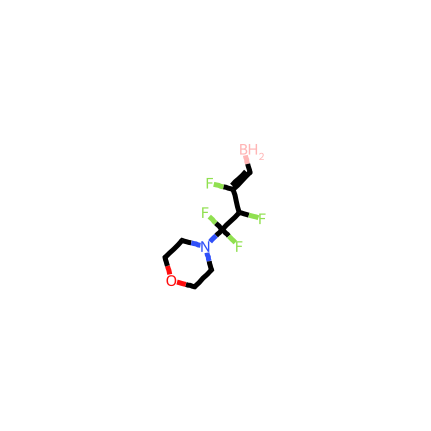 B/C=C(\F)C(F)C(F)(F)N1CCOCC1